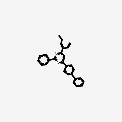 C=C/C(=C\CC)c1cc(-c2ccc(-c3ccccc3)cc2)nc(-c2ccccc2)n1